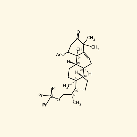 CC(=O)OC1CC(=O)C(C)(C)C2=CC[C@H]3[C@@H]4CC[C@H]([C@H](C)CO[Si](C(C)C)(C(C)C)C(C)C)[C@@]4(C)CC[C@@H]3[C@]21C